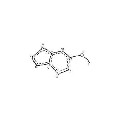 COc1cnn2ccnc2c1